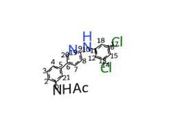 CC(=O)Nc1cccc(-c2ccc(Nc3cc(Cl)cc(Cl)c3)nc2)c1